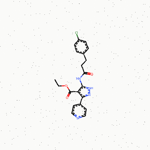 CCOC(=O)c1c(-c2ccncc2)n[nH]c1NC(=O)CCc1ccc(Cl)cc1